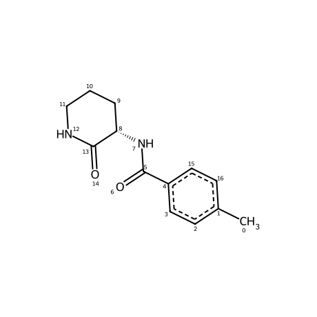 Cc1ccc(C(=O)N[C@H]2CCCNC2=O)cc1